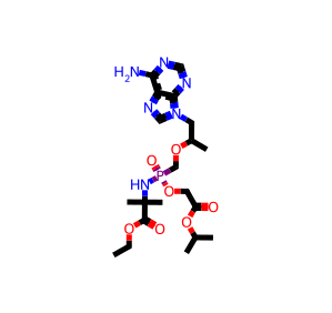 CCOC(=O)C(C)(C)NP(=O)(COC(C)Cn1cnc2c(N)ncnc21)OCC(=O)OC(C)C